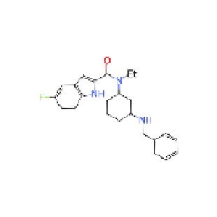 CCN(C(=O)c1cc2cc(F)ccc2[nH]1)C1CCCC(NCc2ccccc2)C1